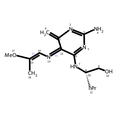 C=C1N=C(N)N=C(N[C@H](CO)CCC)/C1=N/C=C(\C)OC